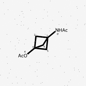 CC(=O)NC12CC(OC(C)=O)(C1)C2